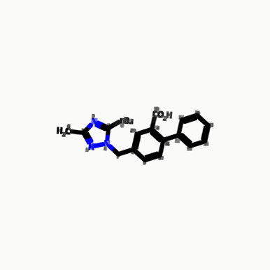 CCCCc1nc(C)nn1Cc1ccc(-c2ccccc2)c(C(=O)O)c1